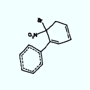 O=[N+]([O-])C1(Br)CC=CC=C1c1ccccc1